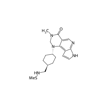 CSNC[C@H]1CC[C@H](N2CN(C)C(=O)c3cnc4[nH]ccc4c32)CC1